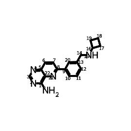 Nc1ncnc2ccc(-c3cccc(CNC4CCC4)c3)nc12